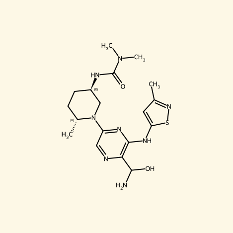 Cc1cc(Nc2nc(N3C[C@H](NC(=O)N(C)C)CC[C@H]3C)cnc2C(N)O)sn1